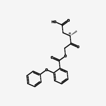 C[C@@H](CC(=O)O)C(=O)COC(=O)c1ccccc1Oc1ccccc1